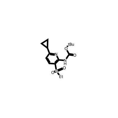 CCS(=O)(=O)c1ccc(C2CC2)nc1NC(=O)OC(C)(C)C